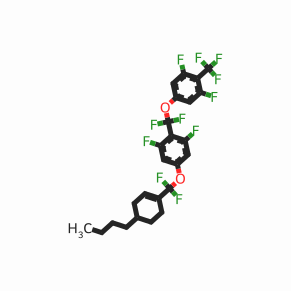 CCCCC1CC=C(C(F)(F)Oc2cc(F)c(C(F)(F)Oc3cc(F)c(C(F)(F)F)c(F)c3)c(F)c2)CC1